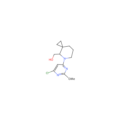 COc1nc(Cl)cc(N2CCCC3(CC3)C2CO)n1